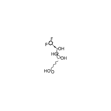 O=C(O)CCCCCC[C@@H]1C[C@](O)(CCC(O)C#Cc2cc(F)cc(F)c2)C[C@@H]1O